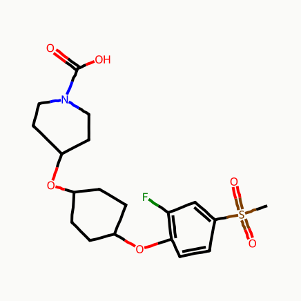 CS(=O)(=O)c1ccc(OC2CCC(OC3CCN(C(=O)O)CC3)CC2)c(F)c1